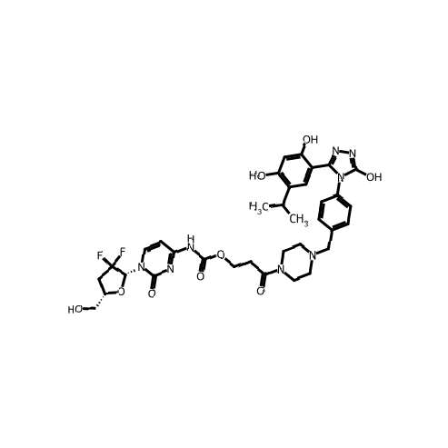 CC(C)c1cc(-c2nnc(O)n2-c2ccc(CN3CCN(C(=O)CCOC(=O)Nc4ccn([C@@H]5O[C@H](CO)CC5(F)F)c(=O)n4)CC3)cc2)c(O)cc1O